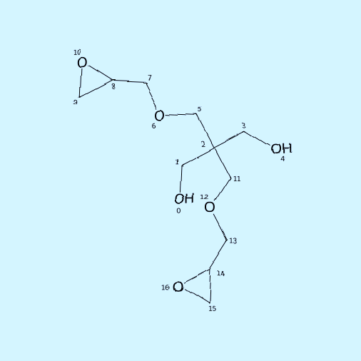 OCC(CO)(COCC1CO1)COCC1CO1